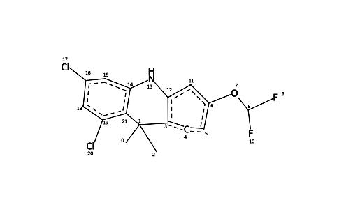 CC1(C)c2ccc(OC(F)F)cc2Nc2cc(Cl)cc(Cl)c21